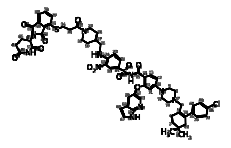 CC1(C)CCC(CN2CCN(c3ccc(C(=O)NS(=O)(=O)c4ccc(NCC5CCN(C(=O)CCSc6cccc7c6C(=O)N(C6CCC(=O)NC6=O)C7=O)CC5)c([N+](=O)[O-])c4)c(Oc4cnc5[nH]ccc5c4)c3)CC2)=C(c2ccc(Cl)cc2)C1